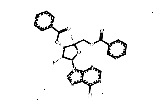 C[C@]1(COC(=O)c2ccccc2)O[C@@H](n2cnc3c(Cl)ncnc32)[C@H](F)[C@@H]1OC(=O)c1ccccc1